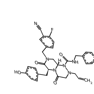 C=CCN1CC(=O)N2[C@@H](Cc3ccc(O)cc3)C(=O)N(Cc3ccc(F)c(C#N)c3)C[C@@H]2N1C(=O)NCc1ccccc1